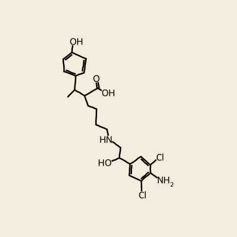 CC(c1ccc(O)cc1)C(CCCCNCC(O)c1cc(Cl)c(N)c(Cl)c1)C(=O)O